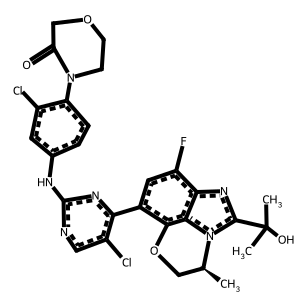 C[C@H]1COc2c(-c3nc(Nc4ccc(N5CCOCC5=O)c(Cl)c4)ncc3Cl)cc(F)c3nc(C(C)(C)O)n1c23